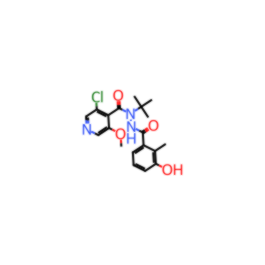 COc1cncc(Cl)c1C(=O)N(NC(=O)c1cccc(O)c1C)C(C)(C)C